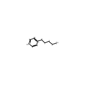 ICCCCc1ccncc1